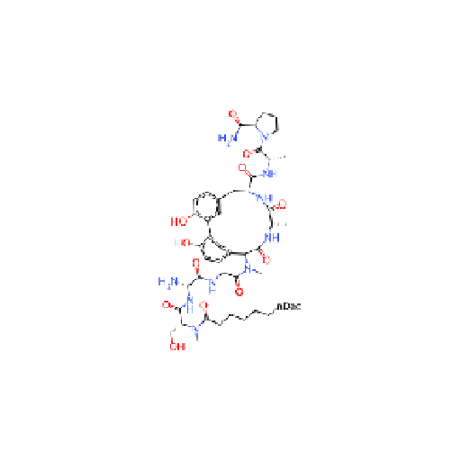 CCCCCCCCCCCCCCCC(=O)N(C)[C@H](CO)C(=O)N[C@H](N)C(=O)NCC(=O)N(C)[C@@H]1C(=O)N[C@@H](C)C(=O)N[C@H](C(=O)N[C@@H](C)C(=O)N2CCCC2C(N)=O)Cc2ccc(O)c(c2)-c2cc1ccc2O